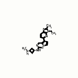 CCn1c(C)nc2ccc(-c3ccn4nc(N[C@H]5C[C@@H](NC)C5)ncc34)nc21